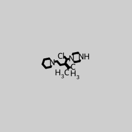 CC(C)=C(CCN1CCCCC1)C(Cl)N1CCNCC1